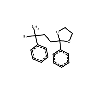 CCC(N)(CCC1(c2ccccc2)OCCO1)c1ccccc1